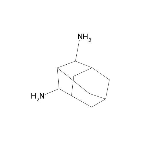 NC1C2CC3CC(C2)C(N)C1C3